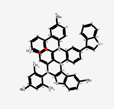 Cc1cc2c3c(c1)N(c1c(C)cc(C(C)(C)C)cc1C)c1oc4ccc(C(C)(C)C)cc4c1B3c1ccc(-c3csc4ccccc34)cc1N2c1ccc(C(C)(C)C)cc1-c1ccccc1